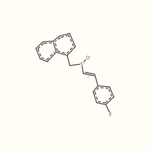 [O-][S+](/C=C/c1ccc(F)cc1)Cc1cccc2ccccc12